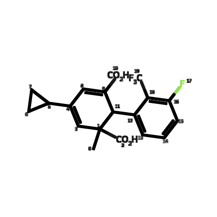 CC1(C(=O)O)C=C(C2CC2)C=C(C(=O)O)C1c1cccc(F)c1C(F)(F)F